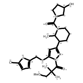 COCC(C)(C)C(=O)n1nc(C2CCCN(C(=O)N3CCC(O)C3)C2C)cc1SCc1ccc(Cl)s1